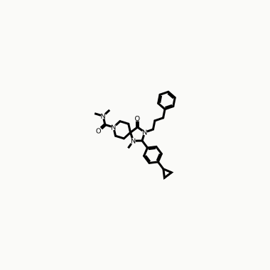 CN(C)C(=O)N1CCC2(CC1)C(=O)N(CCCc1ccccc1)C(c1ccc(C3CC3)cc1)N2C